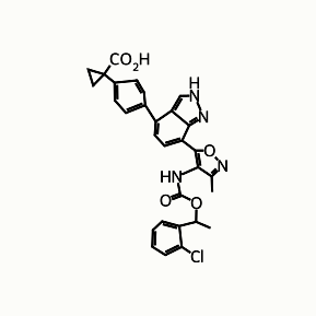 Cc1noc(-c2ccc(-c3ccc(C4(C(=O)O)CC4)cc3)c3c[nH]nc23)c1NC(=O)OC(C)c1ccccc1Cl